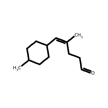 CC(=CC1CCC(C)CC1)CCC=O